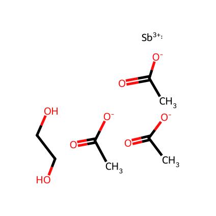 CC(=O)[O-].CC(=O)[O-].CC(=O)[O-].OCCO.[Sb+3]